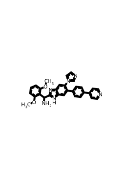 COc1cccc(OC)c1C(N)c1nc2cc(-n3ccnc3)c(-c3ccc(-c4ccncc4)cc3)cc2[nH]1